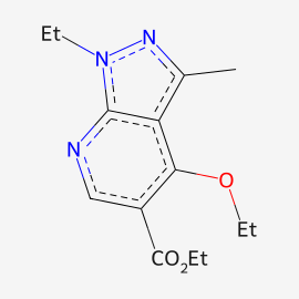 CCOC(=O)c1cnc2c(c(C)nn2CC)c1OCC